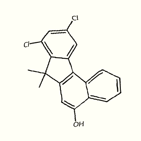 CC1(C)c2cc(O)c3ccccc3c2-c2cc(Cl)cc(Cl)c21